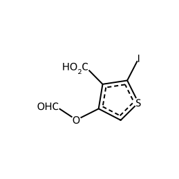 O=COc1csc(I)c1C(=O)O